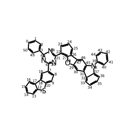 c1ccc(-c2nc(-c3ccc4sc5ccccc5c4c3)nc(-c3cccc4c3oc3cc5c6ccccc6n(-c6ccccc6)c5cc34)n2)cc1